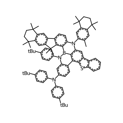 Cc1cc2c(cc1N1c3ccc4c(c3B3c5c1cc1c(sc6ccccc61)c5-c1ccc(N(c5ccc(C(C)(C)C)cc5)c5ccc(C(C)(C)C)cc5)cc1N3c1ccc(C(C)(C)C)cc1)C(C)(C)c1cc3c(cc1-4)C(C)(C)CCC3(C)C)C(C)(C)CCC2(C)C